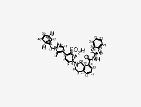 Cc1c(-c2ccc(N3CCc4cccc(C(=O)Nc5nc6ccccc6s5)c4C3)nc2C(=O)O)cnn1C[C@@H]1C[C@@H]2C=C[C@H]1C2